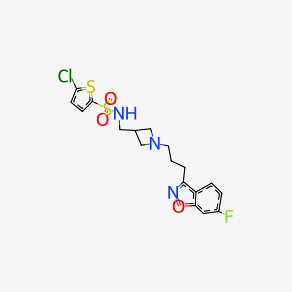 O=S(=O)(NCC1CN(CCCc2noc3cc(F)ccc23)C1)c1ccc(Cl)s1